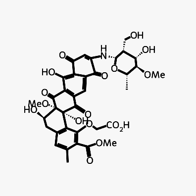 COC(=O)c1c(C)cc2c(c1OCC(=O)O)[C@]1(O)C(=O)c3cc4c(c(O)c3C(=O)[C@]1(OC)[C@H](O)C2)C(=O)C=C(N[C@H]1O[C@@H](C)[C@H](OC)[C@@H](O)[C@H]1CO)C4=O